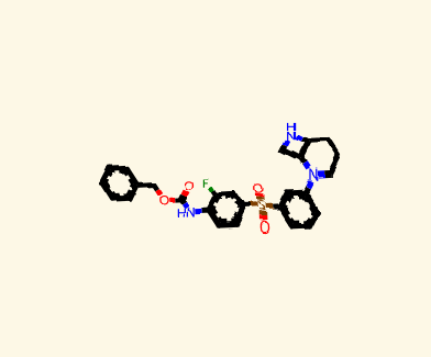 O=C(Nc1ccc(S(=O)(=O)c2cccc(N3CCCC4NCC43)c2)cc1F)OCc1ccccc1